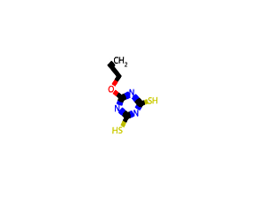 C=CCOc1nc(S)nc(S)n1